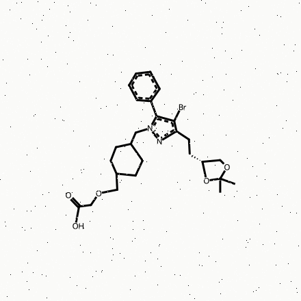 CC1(C)OC[C@@H](CCc2nn(CC3CCC(COCC(=O)O)CC3)c(-c3ccccc3)c2Br)O1